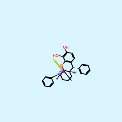 Oc1ccc2c(c1O)O[C@@]13NC(=S)N[C@@H](c4ccccc4)[C@H]1CCC[C@H]3[C@H]2c1ccccc1